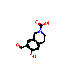 O=Cc1cc2c(cc1O)CCN(C(=O)O)C2